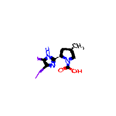 C[C@H]1C[C@@H](c2nc(I)c(I)[nH]2)N(C(=O)O)C1